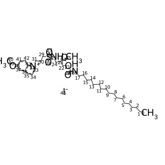 CCCCCCCCCCCCCCCCCCNC(=O)OCC(CNS(=O)(=O)CCC[n+]1cccc2cc(OC)ccc21)OC.[I-]